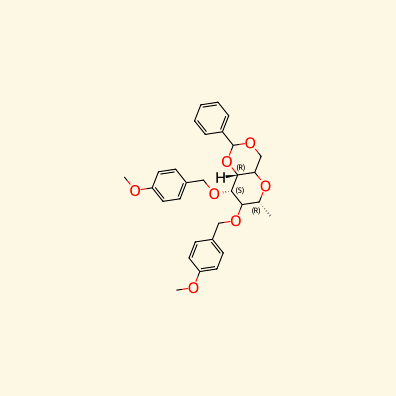 COc1ccc(COC2[C@@H](C)OC3COC(c4ccccc4)O[C@H]3[C@H]2OCc2ccc(OC)cc2)cc1